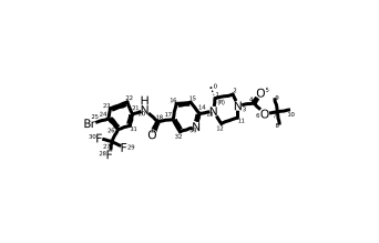 C[C@@H]1CN(C(=O)OC(C)(C)C)CCN1c1ccc(C(=O)Nc2ccc(Br)c(C(F)(F)F)c2)cn1